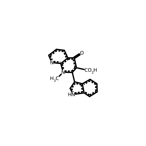 Cn1c(-c2c[nH]c3ccccc23)c(C(=O)O)c(=O)c2cccnc21